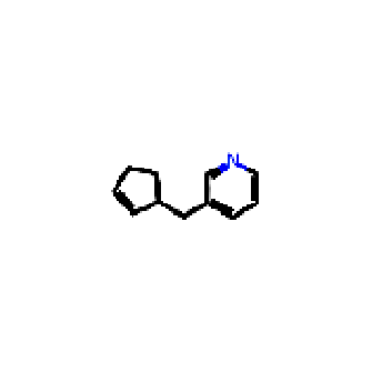 C1=CC(Cc2cccnc2)CC1